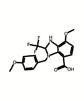 COc1ccc(CN2c3c(C(=O)O)ccc(OC)c3NC2C(F)(F)F)cc1